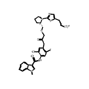 Cn1cc(C(=O)Nc2cc(F)c(CC(=O)COC[C@@H]3CCCN3c3ncc(CCC(=O)O)s3)cc2Cl)c2ccccc21